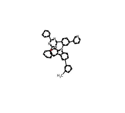 Cc1cccc(-c2ccc3c(c2)c2ccccc2n3-c2cc(-c3cccnc3)ccc2-c2nc(-c3ccccc3)nc(-c3ccccc3)n2)c1